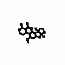 COc1cc2c(c3oc(=O)c4c(c13)CCOC4=O)[C@@H]1CCO[C@@H]1O2